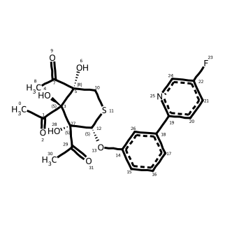 CC(=O)[C@]1(O)[C@@](O)(C(C)=O)CS[C@H](Oc2cccc(-c3ccc(F)cn3)c2)[C@@]1(O)C(C)=O